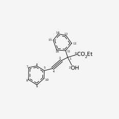 CCOC(=O)C(O)(C#Cc1ccccc1)c1ccccc1